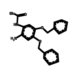 CC(C)(C)C(=O)Nc1cc(OCc2ccccc2)c(OCc2ccccc2)cc1N